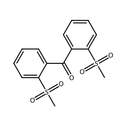 CS(=O)(=O)c1ccccc1C(=O)c1ccccc1S(C)(=O)=O